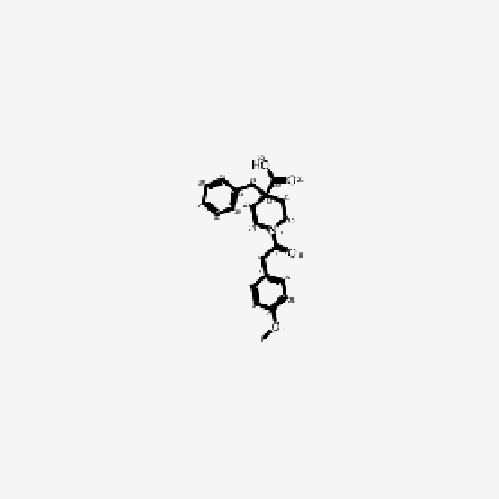 COc1ccc(CC(=O)N2CCC(Cc3ccccc3)(C(=O)O)CC2)cc1